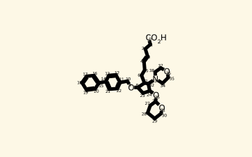 O=C(O)CCC=CCCC1C(OCc2ccc(-c3ccccc3)cc2)CC(OC2CCCCO2)C1N1CCOCC1